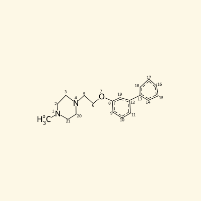 CN1CCN(CCOc2cccc(-c3cc[c]cc3)c2)CC1